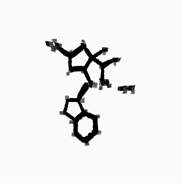 CCC1(C(=N)N)N=C(N)N=C1N=C1CCc2ccccc21.Cl.Cl